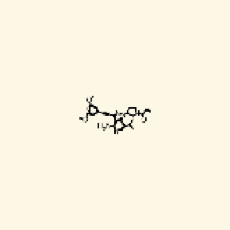 C=CC(=O)N1CC[C@H](n2nc(C#Cc3cc(OC)nc(OC)c3)c3c(N)ncc(C(C)C)c32)C1